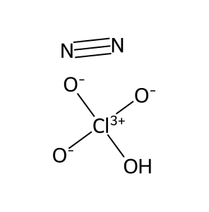 N#N.[O-][Cl+3]([O-])([O-])O